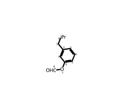 CC(C)Cc1cccc(OC=O)c1